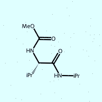 COC(=O)N[C@H](C(=O)NC(C)C)C(C)C